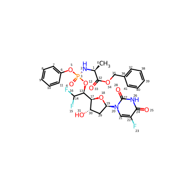 C[C@H](N[P@](=O)(Oc1ccccc1)O[C@H](C(F)F)[C@H]1O[C@@H](n2cc(F)c(=O)[nH]c2=O)C[C@@H]1O)C(=O)OCc1ccccc1